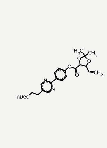 C=CC1OC(C)(C)OC1C(=O)Oc1ccc(-c2ncc(CCCCCCCCCCCC)cn2)cc1